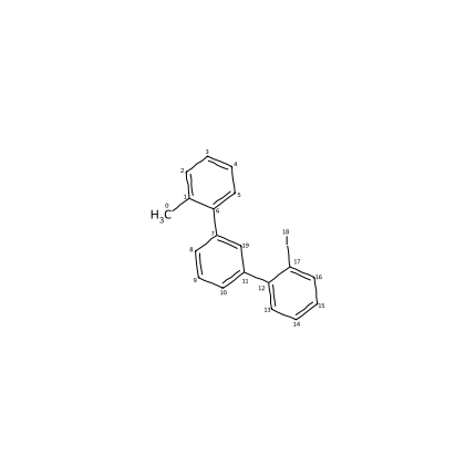 Cc1ccccc1-c1cccc(-c2ccccc2I)c1